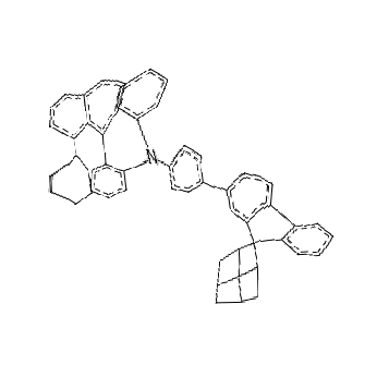 c1ccc(N(c2ccc(-c3ccc4c(c3)C3(c5ccccc5-4)C4CC5CC6CC3C564)cc2)c2ccccc2-c2cccc3cccc(C4CCCCC4)c23)cc1